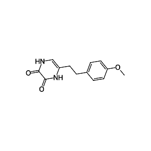 COc1ccc(CCc2c[nH]c(=O)c(=O)[nH]2)cc1